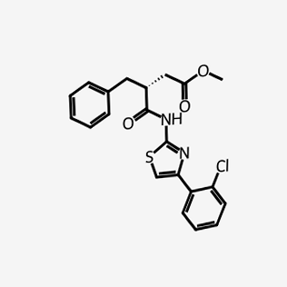 COC(=O)C[C@@H](Cc1ccccc1)C(=O)Nc1nc(-c2ccccc2Cl)cs1